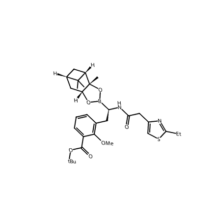 CCc1nc(CC(=O)N[C@@H](Cc2cccc(C(=O)OC(C)(C)C)c2OC)B2O[C@@H]3C[C@@H]4C[C@@H](C4(C)C)[C@]3(C)O2)cs1